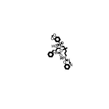 CC(C)(CCCN/C(=N/C#N)Oc1ccccc1)CN(C[C@@H](O)[C@H](Cc1ccccc1)NC(=O)O)S(=O)(=O)c1ccc2c(c1)OCO2